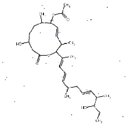 CCC(O)C(C)/C=C/CC(C)/C=C/C=C(\C)C1OC(=O)CC(O)CCC(C)C(OC(C)=O)/C=C/C1C